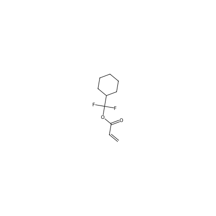 C=CC(=O)OC(F)(F)C1CCCCC1